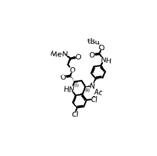 CNC(=O)COC(=O)[C@@H]1C[C@@H](N(C(C)=O)c2ccc(NC(=O)OC(C)(C)C)cc2)c2c(Cl)cc(Cl)cc2N1